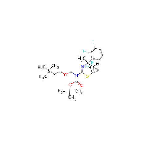 CC(C)(C)OC(=O)N(COCC[Si](C)(C)C)C1=N[C@](C)(c2cccc(F)c2F)[C@@H]2C[C@]2(C(F)F)S1